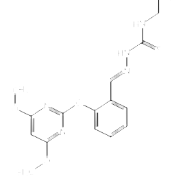 CCNC(=S)NN=Cc1ccccc1Oc1nc(OC)cc(OC)n1